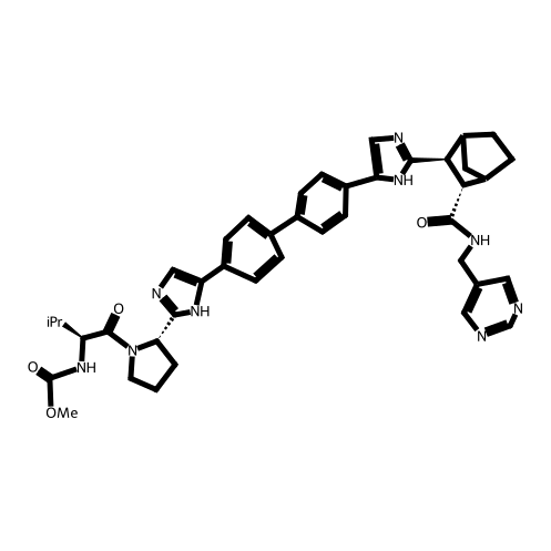 COC(=O)N[C@H](C(=O)N1CCC[C@H]1c1ncc(-c2ccc(-c3ccc(-c4cnc([C@H]5C6CCC(C6)[C@@H]5C(=O)NCc5cncnc5)[nH]4)cc3)cc2)[nH]1)C(C)C